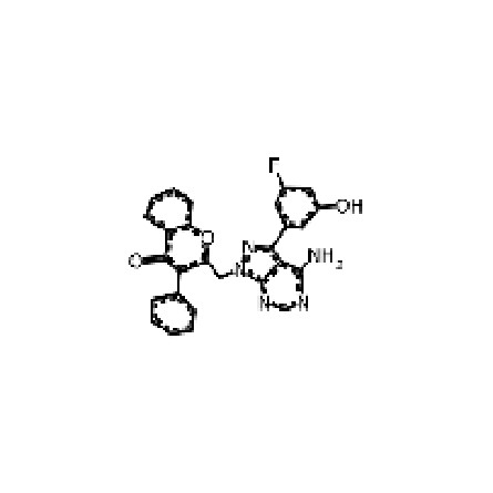 Nc1ncnc2c1c(-c1cc(O)cc(F)c1)nn2Cc1oc2ccccc2c(=O)c1-c1ccccc1